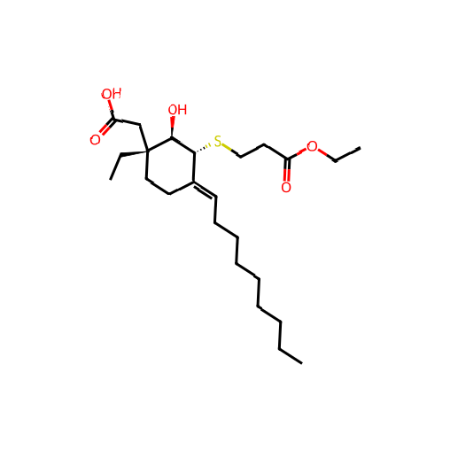 CCCCCCCCC=C1CC[C@](CC)(CC(=O)O)[C@@H](O)[C@@H]1SCCC(=O)OCC